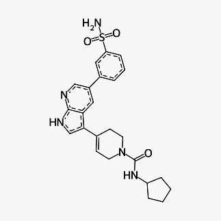 NS(=O)(=O)c1cccc(-c2cnc3[nH]cc(C4=CCN(C(=O)NC5CCCC5)CC4)c3c2)c1